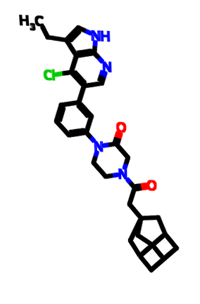 CCc1c[nH]c2ncc(-c3cccc(N4CCN(C(=O)CC56CC7CC8CC(C5)C87C6)CC4=O)c3)c(Cl)c12